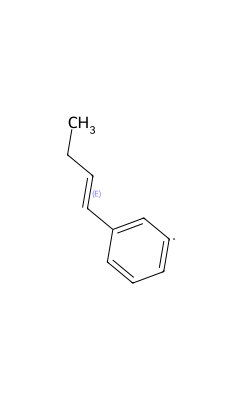 CC/C=C/c1c[c]ccc1